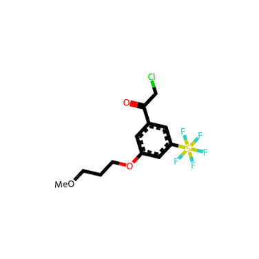 COCCCOc1cc(C(=O)CCl)cc(S(F)(F)(F)(F)F)c1